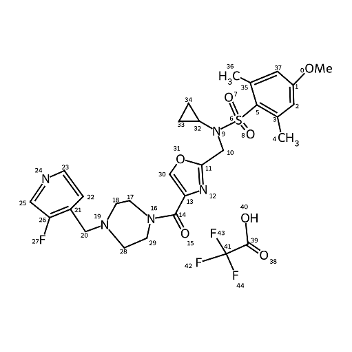 COc1cc(C)c(S(=O)(=O)N(Cc2nc(C(=O)N3CCN(Cc4ccncc4F)CC3)co2)C2CC2)c(C)c1.O=C(O)C(F)(F)F